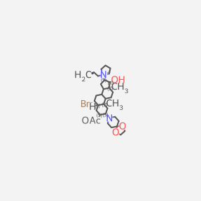 C=CC[N+]1([C@H]2CC3C4CC[C@H]5C[C@H](OC(C)=O)[C@@H](N6CCC7(CC6)OCCO7)C[C@]5(C)C4CC[C@]3(C)[C@H]2O)CCCC1.[Br-]